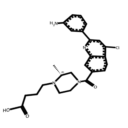 C[C@@H]1CN(C(=O)c2ccc3c(Cl)cc(-c4cccc(N)c4)nc3c2)CCN1CCCC(=O)O